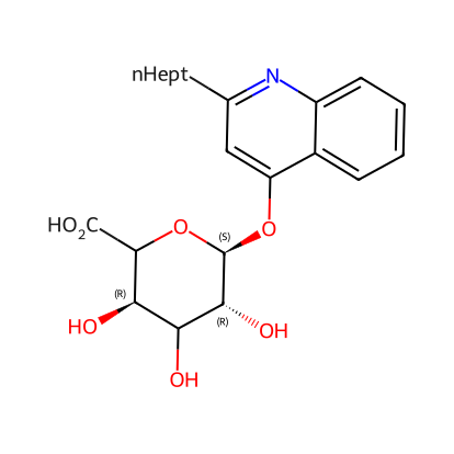 CCCCCCCc1cc(O[C@@H]2OC(C(=O)O)[C@H](O)C(O)[C@H]2O)c2ccccc2n1